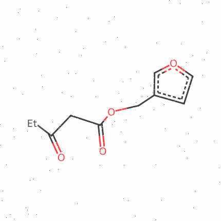 CCC(=O)CC(=O)OCc1ccoc1